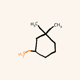 CC1(C)CCCC(P)C1